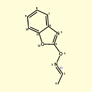 C/C=N/Oc1nc2ccccc2o1